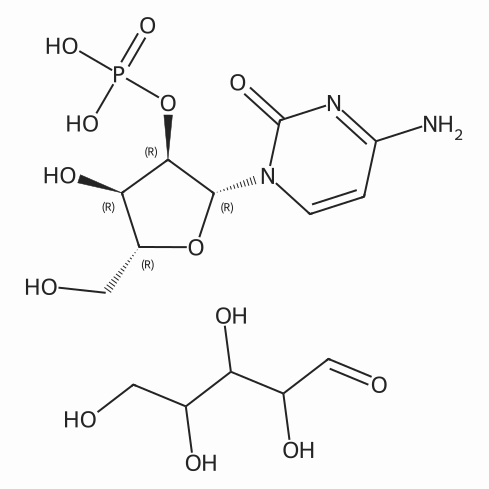 Nc1ccn([C@@H]2O[C@H](CO)[C@@H](O)[C@H]2OP(=O)(O)O)c(=O)n1.O=CC(O)C(O)C(O)CO